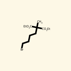 CCOC(=O)C(C)(CCCCBr)C(=O)OCC